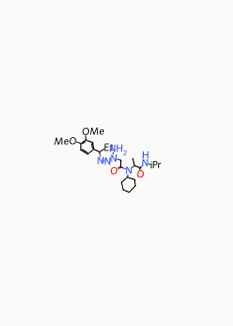 CCC(/N=N\N(N)CC(=O)N(C1CCCCC1)C(C)C(=O)NC(C)C)c1ccc(OC)c(OC)c1